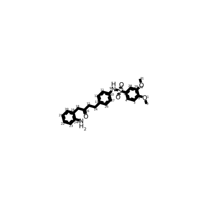 COc1ccc(S(=O)(=O)Nc2ccc(CCC(=O)Cc3ccccc3N)cc2)cc1OC